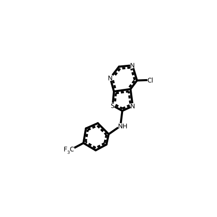 FC(F)(F)c1ccc(Nc2nc3c(Cl)ncnc3s2)cc1